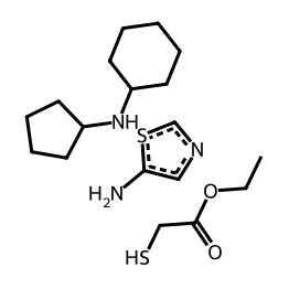 C1CCC(NC2CCCC2)CC1.CCOC(=O)CS.Nc1cncs1